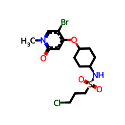 Cn1cc(Br)c(OC2CCC(NS(=O)(=O)CCCCl)CC2)cc1=O